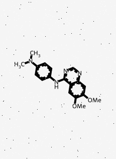 COc1cc2ncnc(Nc3ccc(N(C)C)cc3)c2cc1OC